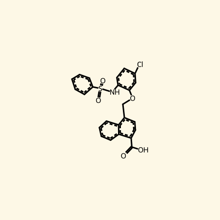 O=C(O)c1ccc(COc2cc(Cl)ccc2NS(=O)(=O)c2ccccc2)c2ccccc12